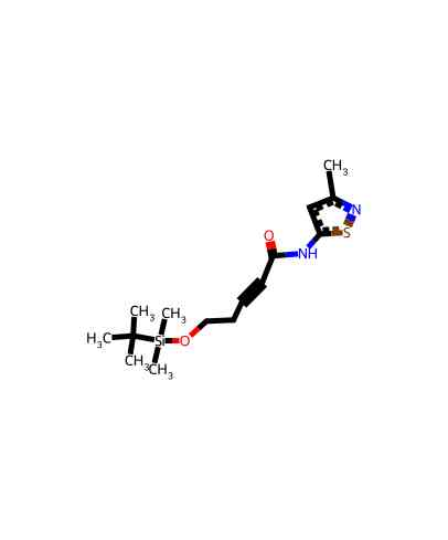 Cc1cc(NC(=O)C#CCCO[Si](C)(C)C(C)(C)C)sn1